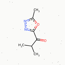 Cc1nnc(C(=O)C(C)C)o1